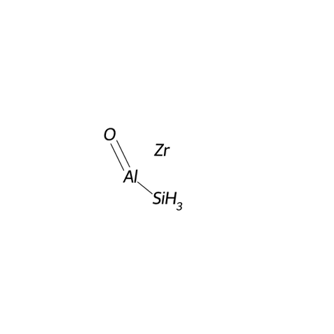 [O]=[Al][SiH3].[Zr]